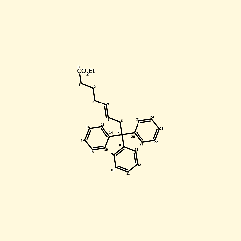 CCOC(=O)CCCC=CCC(c1ccccc1)(c1ccccc1)c1ccccc1